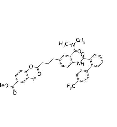 COC(=O)c1ccc(OC(=O)CCCc2ccc(NC(=O)c3ccccc3-c3ccc(C(F)(F)F)cc3)c(C(=O)N(C)C)c2)c(F)c1